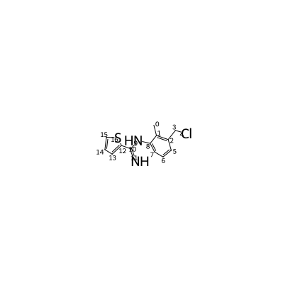 Cc1c(CCl)cccc1NC(=N)c1cccs1